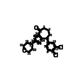 O=C1CCCC(c2ccc(Cl)c(Cl)c2)c2nc(N3CCOCC3)sc21